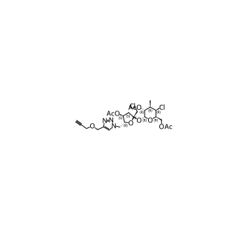 C#CCOCc1cn(C[C@H]2O[C@@](CCl)(O[C@H]3O[C@H](COC(C)=O)[C@H](Cl)[C@H](C)[C@H]3OC(C)=O)[C@@H](C)[C@@H]2OC(C)=O)nn1